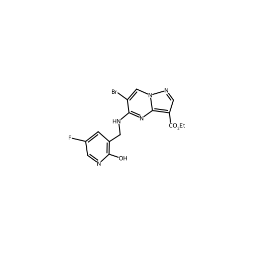 CCOC(=O)c1cnn2cc(Br)c(NCc3cc(F)cnc3O)nc12